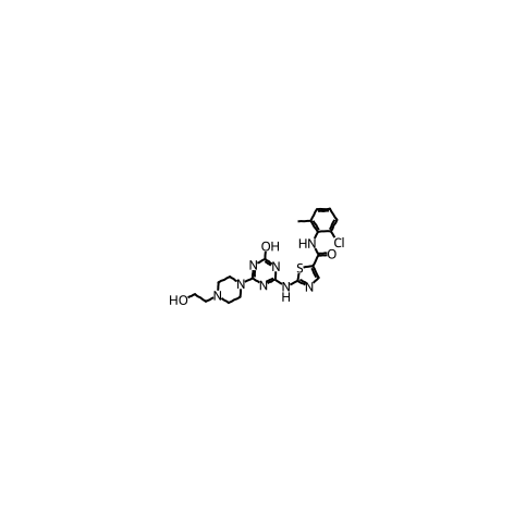 Cc1cccc(Cl)c1NC(=O)c1cnc(Nc2nc(O)nc(N3CCN(CCO)CC3)n2)s1